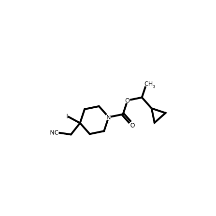 CC(OC(=O)N1CCC(I)(CC#N)CC1)C1CC1